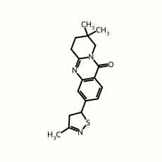 CC1=NSC(c2ccc3c(=O)n4c(nc3c2)CCC(C)(C)C4)C1